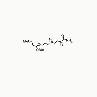 COCCC(OC)OCCC[SiH2]CCNC(N)=O